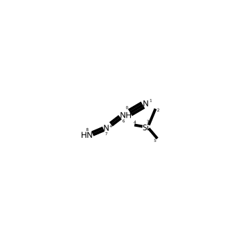 C#N.C[Si](C)C.N=[N+]=N